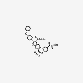 CCN(c1cc2oc(-c3ccc(Oc4ccccc4)cc3)c(C(=O)NC)c2cc1-c1cccc(C(=O)N(C)C(C)(C)C)c1)S(C)(=O)=O